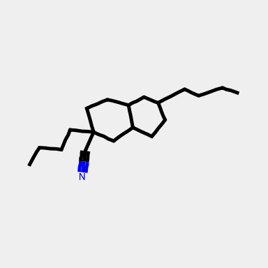 CCCCC1CCC2CC(C#N)(CCCC)CCC2C1